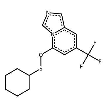 FC(F)(F)c1cc(OSC2CCCCC2)n2cncc2c1